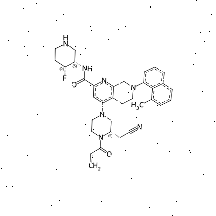 C=CC(=O)N1CCN(c2cc(C(=O)N[C@H]3CNCC[C@H]3F)nc3c2CCN(c2cccc4cccc(C)c24)C3)C[C@@H]1CC#N